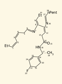 CC/C=C\C=C/C/C=N/C(=C/CC)C(=C\CC(=O)N[C@H](C)C1=CCC(F)C=C1)/N=C/CCCCC